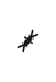 CCCCCCC(CCCCCC)N1C(=O)c2ccc3c4c(OCC)cc5c6c(cc(OCC)c(c7ccc(c2c37)C1=O)c64)C(=O)N(C(CCCCCC)CCCCCC)C5=O